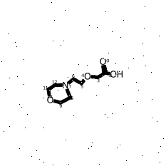 O=C(O)COCCN1CCOCC1